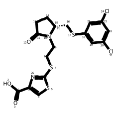 O=C(O)c1csc(SCCN2C(=O)CC[C@@H]2CSc2cc(Cl)cc(Cl)c2)n1